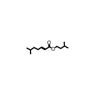 CC(C)CCC=CC(=O)OCCC(C)C